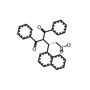 O=C(c1ccccc1)C(C(=O)c1ccccc1)[C@H](C[N+](=O)[O-])c1cccc2ccccc12